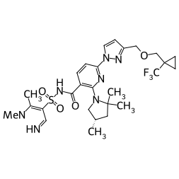 CN/C(C)=C(\C=N)S(=O)(=O)NC(=O)c1ccc(-n2ccc(COCC3(C(F)(F)F)CC3)n2)nc1N1C[C@@H](C)CC1(C)C